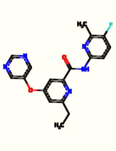 CCc1cc(Oc2cncnc2)cc(C(=O)Nc2ccc(F)c(C)n2)n1